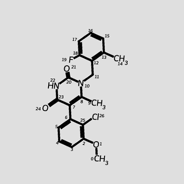 COc1cccc(-c2c(C)n(Cc3c(C)cccc3F)c(=O)[nH]c2=O)c1Cl